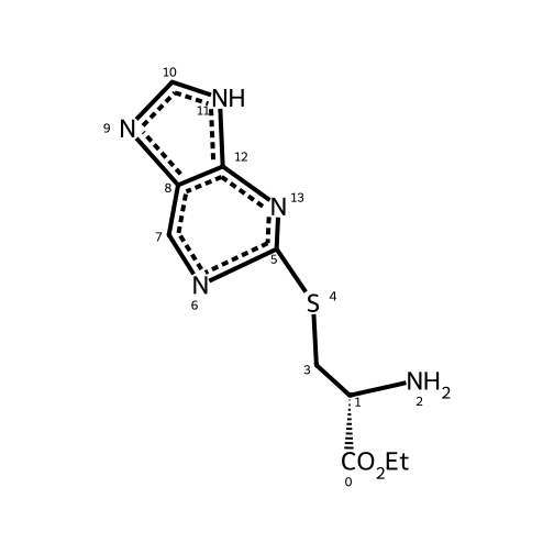 CCOC(=O)[C@@H](N)CSc1ncc2nc[nH]c2n1